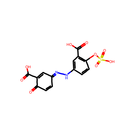 O=C(O)C1=CC(=NNc2ccc(OS(=O)(=O)O)c(C(=O)O)c2)C=CC1=O